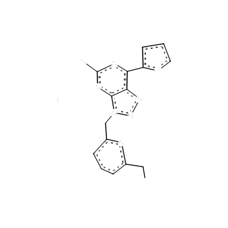 Cl.Nc1nc(-c2ccco2)c2nnn(Cc3cccc(CO)n3)c2n1